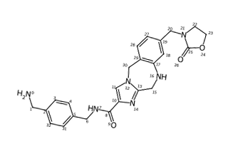 NCc1ccc(CNC(=O)c2cn3c(n2)CNc2cc(CN4CCOC4=O)ccc2C3)cc1